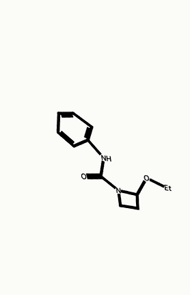 CCOC1CCN1C(=O)Nc1ccccc1